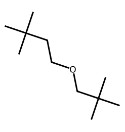 CC(C)(C)CCOCC(C)(C)C